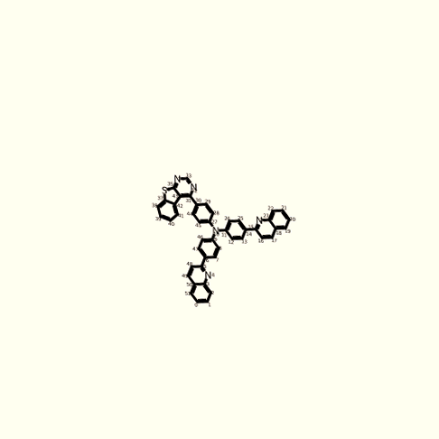 c1ccc2nc(-c3ccc(N(c4ccc(-c5ccc6ccccc6n5)cc4)c4ccc(-c5ncnc6sc7ccccc7c56)cc4)cc3)ccc2c1